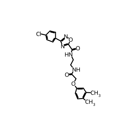 Cc1ccc(OCC(=O)NCCNC(=O)c2nc(-c3ccc(Cl)cc3)no2)cc1C